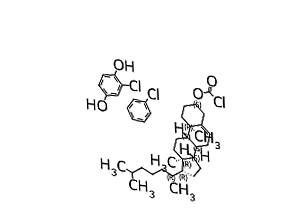 CC(C)CCC[C@@H](C)[C@H]1CC[C@H]2[C@@H]3CC=C4C[C@@H](OC(=O)Cl)CC[C@]4(C)[C@H]3CC[C@]12C.Clc1ccccc1.Oc1ccc(O)c(Cl)c1